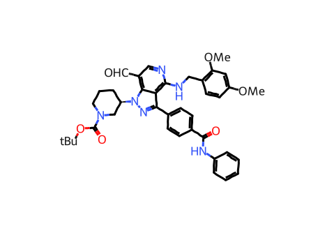 COc1ccc(CNc2ncc(C=O)c3c2c(-c2ccc(C(=O)Nc4ccccc4)cc2)nn3[C@@H]2CCCN(C(=O)OC(C)(C)C)C2)c(OC)c1